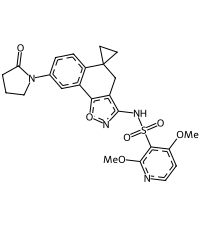 COc1ccnc(OC)c1S(=O)(=O)Nc1noc2c1CC1(CC1)c1ccc(N3CCCC3=O)cc1-2